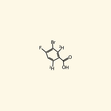 [2H]c1cc(F)c(Br)c([2H])c1C(=O)O